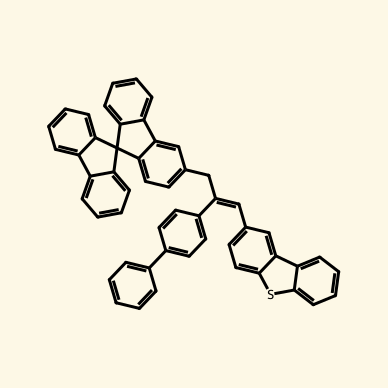 C(=C(\Cc1ccc2c(c1)-c1ccccc1C21c2ccccc2-c2ccccc21)c1ccc(-c2ccccc2)cc1)/c1ccc2sc3ccccc3c2c1